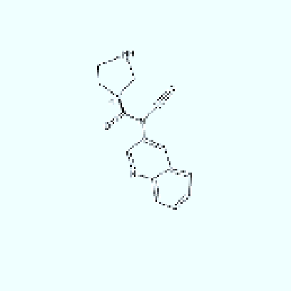 N#CN(C(=O)[C@H]1CCNC1)c1cnc2ccccc2c1